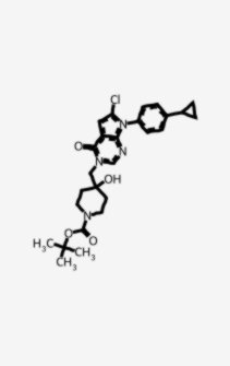 CC(C)(C)OC(=O)N1CCC(O)(Cn2cnc3c(cc(Cl)n3-c3ccc(C4CC4)cc3)c2=O)CC1